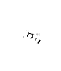 C[C@@]1(O)[C@H](O)[C@@H](CO)O[C@H]1C1NC=CS1